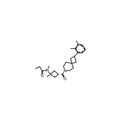 CCC(=O)N(C)[C@]1(C)C[C@H](C(=O)N2CCC3(CC2)CC(c2cccc(C)c2C)C3)C1